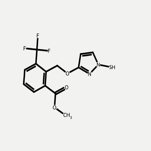 COC(=O)c1cccc(C(F)(F)F)c1COc1ccn(S)n1